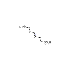 CCCCCCCC/C=C/CCS(=O)(=O)O